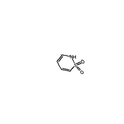 O=S1(=O)C=CC=[C]N1